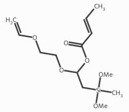 C=COCCOC(C[Si](C)(OC)OC)OC(=O)C=CC